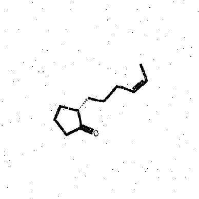 C/C=C\CCC[C@H]1CCCC1=O